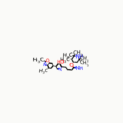 Cc1nc2c(C)cc(-c3cnc(C/C=C\C(=N)O[C@H]4CC(C)(C)NC(C)(C)[C@H]4C)c(O)c3)cc2o1